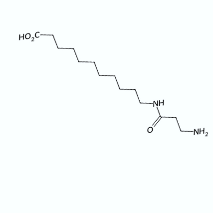 NCCC(=O)NCCCCCCCCCCC(=O)O